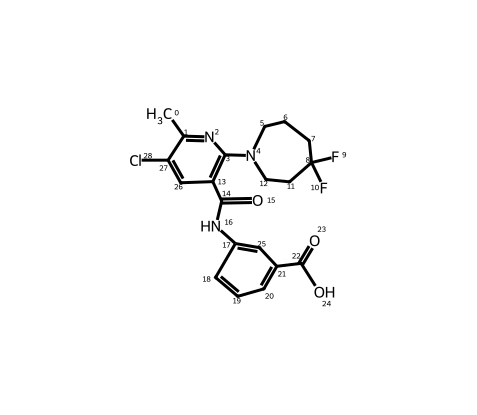 Cc1nc(N2CCCC(F)(F)CC2)c(C(=O)Nc2cccc(C(=O)O)c2)cc1Cl